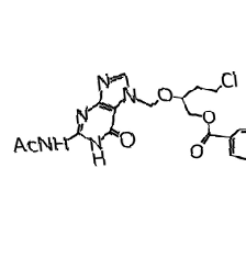 CC(=O)Nc1nc2ncn(COC(CCCl)COC(=O)c3ccccc3)c2c(=O)[nH]1